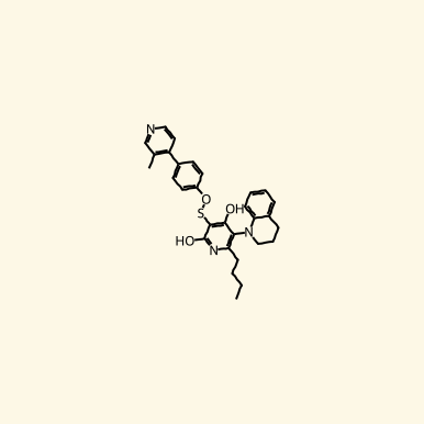 CCCCc1nc(O)c(SOc2ccc(-c3ccncc3C)cc2)c(O)c1N1CCCc2ccccc21